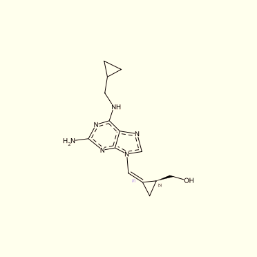 Nc1nc(NCC2CC2)c2ncn(/C=C3/C[C@@H]3CO)c2n1